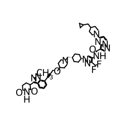 Cn1nc(C2CCC(=O)NC2=O)c2cccc(C#CCOC3CCN(C[C@H]4CC[C@H](n5cc(NC(=O)c6cnn7ccc(N8CCC(CC9CC9)CC8)nc67)c(C(F)F)n5)CC4)CC3)c21